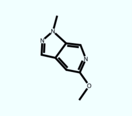 COc1cc2cnn(C)c2cn1